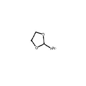 CC[CH]C1OCCO1